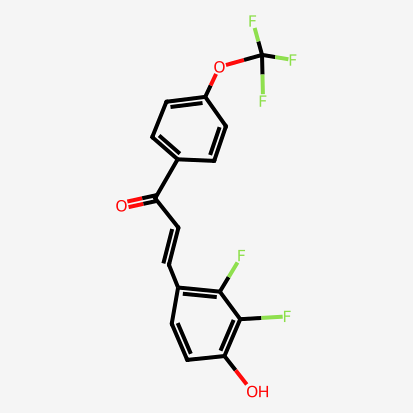 O=C(C=Cc1ccc(O)c(F)c1F)c1ccc(OC(F)(F)F)cc1